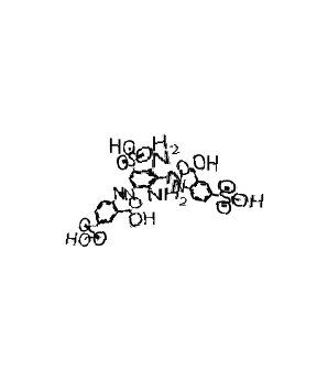 Nc1c(N=Nc2ccc(S(=O)(=O)O)cc2C(=O)O)cc(S(=O)(=O)O)c(N)c1N=Nc1ccc(S(=O)(=O)O)cc1C(=O)O